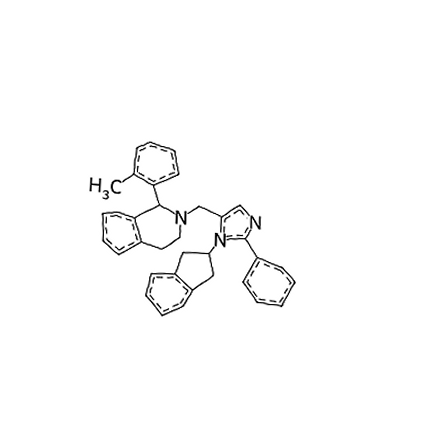 Cc1ccccc1C1c2ccccc2CCN1Cc1cnc(-c2ccccc2)n1C1Cc2ccccc2C1